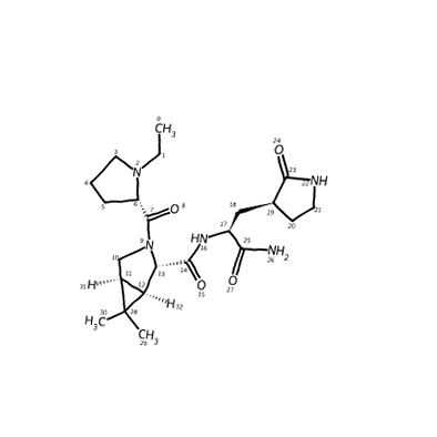 CCN1CCC[C@H]1C(=O)N1C[C@H]2[C@@H]([C@H]1C(=O)N[C@@H](C[C@@H]1CCNC1=O)C(N)=O)C2(C)C